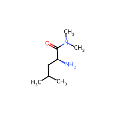 CC(C)C[C@H](N)C(=O)N(C)C